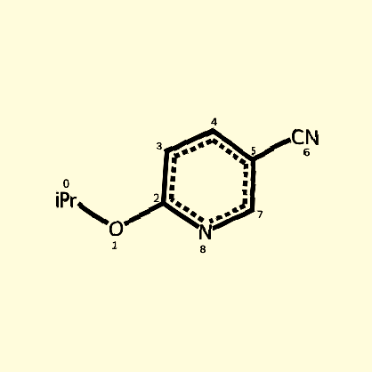 CC(C)Oc1ccc(C#N)cn1